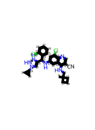 CC1(CNc2c(C#N)cnc3c(Cl)cc(NC(C4=CN(C5CC5)NN4)c4ccccc4Cl)cc23)CCC1